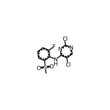 CS(=O)(=O)c1cccc(F)c1Nc1nc(Cl)ncc1Cl